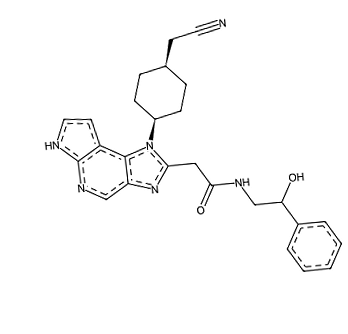 N#CC[C@H]1CC[C@@H](n2c(CC(=O)NCC(O)c3ccccc3)nc3cnc4[nH]ccc4c32)CC1